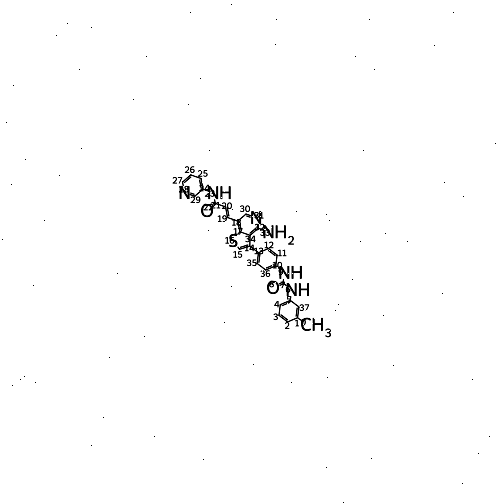 Cc1cccc(NC(=O)Nc2ccc(-c3csc4c(/C=C/C(=O)Nc5cccnc5)cnc(N)c34)cc2)c1